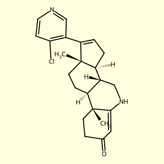 C[C@]12CCC(=O)C=C1NC[C@@H]1[C@@H]2CC[C@]2(C)C(c3cnccc3Cl)=CC[C@@H]12